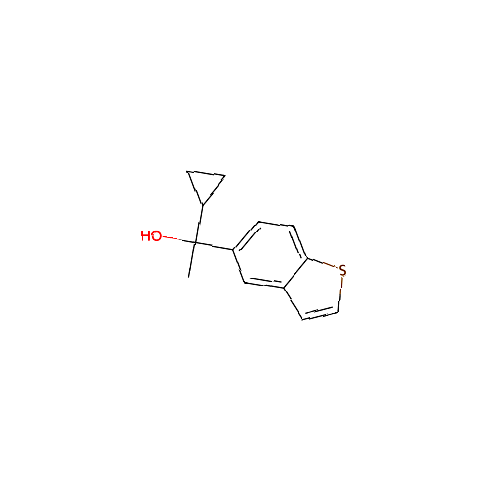 CC(O)(c1ccc2sccc2c1)C1CC1